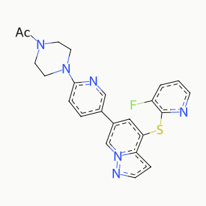 CC(=O)N1CCN(c2ccc(-c3cc(Sc4ncccc4F)c4ccnn4c3)cn2)CC1